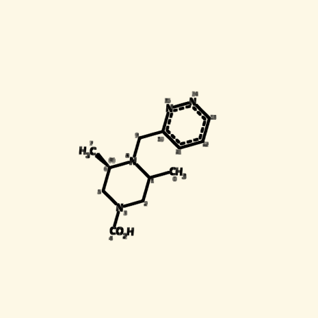 CC1CN(C(=O)O)C[C@@H](C)N1Cc1cccnn1